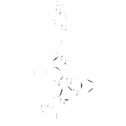 CC(=O)N1CCN(CCCOc2cc(C)c(-c3nc4c(OC5(C)CC5)ncnc4n3Cc3ccccc3)cn2)CC1